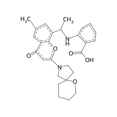 Cc1cc(C(C)Nc2ccccc2C(=O)O)c2oc(N3CCC4(CCCCO4)C3)cc(=O)c2c1